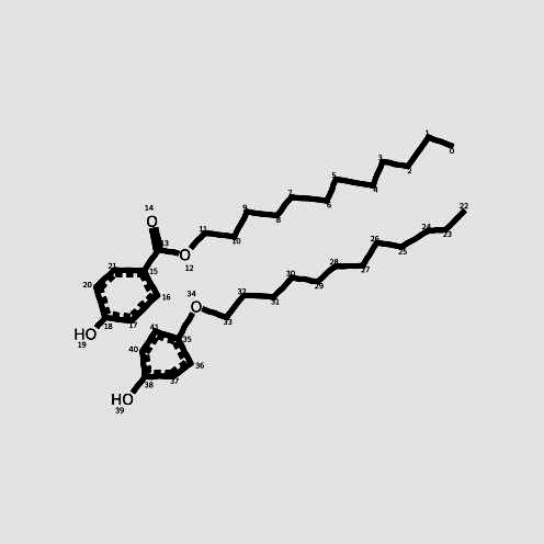 CCCCCCCCCCCCOC(=O)c1ccc(O)cc1.CCCCCCCCCCCCOc1ccc(O)cc1